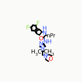 CCCC(NC1CC2CC1c1c(F)cc(F)cc12)C(=O)Nc1cn(C(C)(C)CN2CCOCC2)cn1